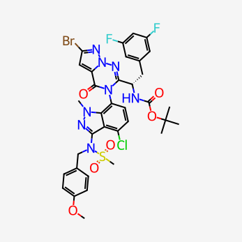 COc1ccc(CN(c2nn(C)c3c(-n4c([C@H](Cc5cc(F)cc(F)c5)NC(=O)OC(C)(C)C)nn5nc(Br)cc5c4=O)ccc(Cl)c23)S(C)(=O)=O)cc1